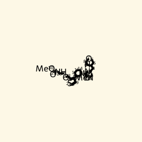 CNC[C@H](CC1CCOCC1)NC(=O)N1CCC[C@H](c2ccsc2COCCNC(=O)OC)C1